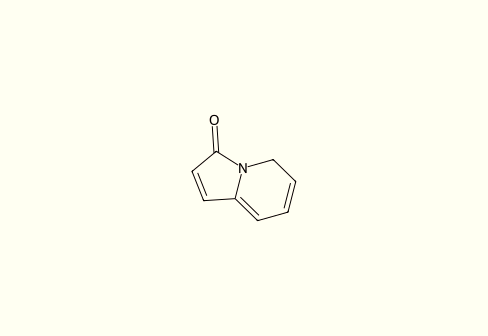 O=C1C=CC2=CC=CCN12